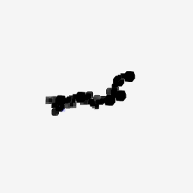 CNc1c(O)ccc(C(O)CNCc2ccc(C(=O)NCCN(C)C(=O)COc3cccc(C(C(=O)OCC4CCN(Cc5ccccc5)CC4)c4ccccc4)c3)cc2)c1/C=C\C=O